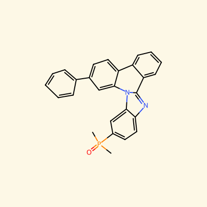 CP(C)(=O)c1ccc2nc3c4ccccc4c4ccc(-c5ccccc5)cc4n3c2c1